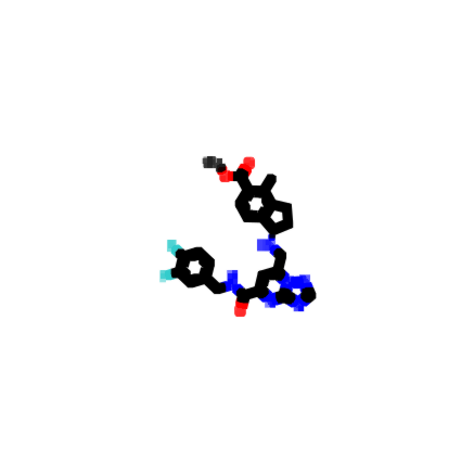 Cc1c(C(=O)OC(C)(C)C)ccc2c1CC[C@@H]2NCc1cc(C(=O)NCc2ccc(F)c(F)c2)nc2ncnn12